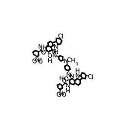 CN(c1ccc(N=Nc2c(O)c(NC(=O)c3cccc([N+](=O)[O-])c3)cc3ccc4c5cc(Cl)ccc5[nH]c4c23)cc1)c1ccc(N=Nc2c(O)c(OC(=N)c3cccc([N+](=O)[O-])c3)cc3ccc4c5cc(Cl)ccc5[nH]c4c23)cc1